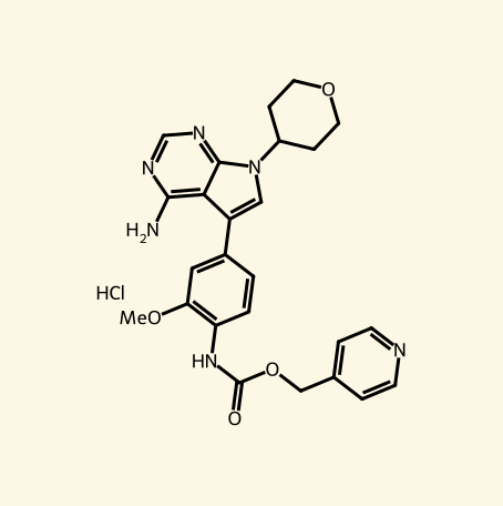 COc1cc(-c2cn(C3CCOCC3)c3ncnc(N)c23)ccc1NC(=O)OCc1ccncc1.Cl